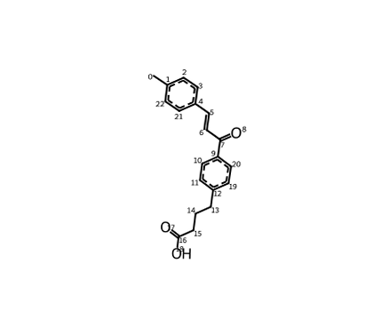 Cc1ccc(/C=C/C(=O)c2ccc(CCCC(=O)O)cc2)cc1